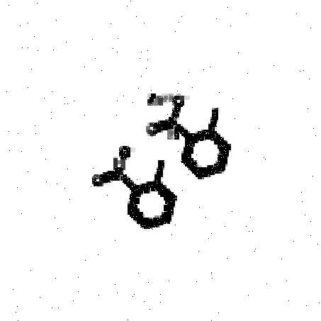 Cc1ccccc1[PH](=O)[O-].Cc1ccccc1[PH](=O)[O-].[Zn+2]